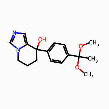 COC(C)(OC)c1ccc(C2(O)CCCn3cncc32)cc1